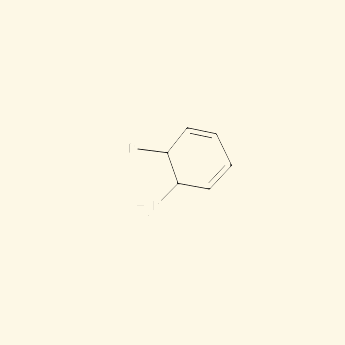 P[C]1C=CC=CC1P